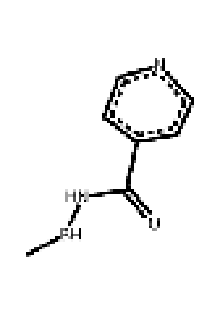 CBNC(=O)c1ccncc1